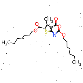 CCCCCCCOC(=O)c1sc2nc(OCCCCCCC)oc(=O)c2c1C